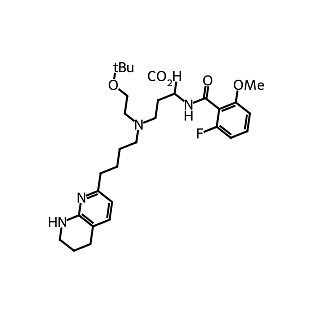 COc1cccc(F)c1C(=O)NC(CCN(CCCCc1ccc2c(n1)NCCC2)CCOC(C)(C)C)C(=O)O